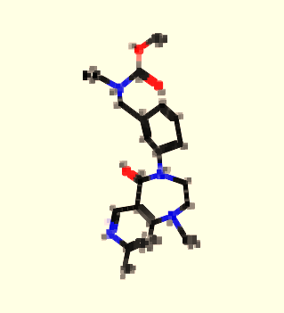 C=C(CCC)/N=C\C1=C(C(C)CC)N(C)CCN(c2cccc(CN(C)C(=O)OC(C)(C)C)c2)C1=O